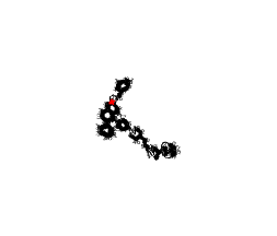 CC1(C)OB(c2cnn(CCC3CCN(c4ccc([C@@H]5c6ccc(OCc7ccccc7)cc6CC[C@@H]5c5ccccc5)cc4)CC3)c2)OC1(C)C